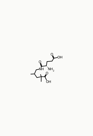 CC(CNC(=O)[C@@H](N)CCC(=O)O)CC(C)(C)C(=O)O